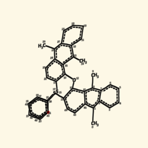 Cc1c2ccccc2c(C)c2c(Oc3c(Sc4ccccc4)ccc4c(C)c5ccccc5c(C)c34)c(Sc3ccccc3)ccc12